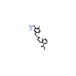 C=C(/C=C\c1c(C)cccc1C(=C)CC)Cc1ccc(C)c(CNC)c1